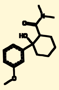 COc1cccc(C2(O)CCCCC2C(=O)N(C)C)c1